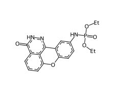 CCOP(=O)(Nc1ccc2c(c1)-c1n[nH]c(=O)c3cccc(c13)O2)OCC